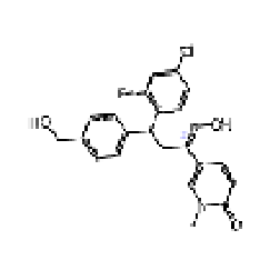 Cn1cc(/C(CC(c2ccc(CO)cc2)c2ccc(Cl)cc2F)=N\O)ccc1=O